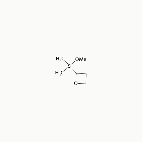 CO[Si](C)(C)C1CCO1